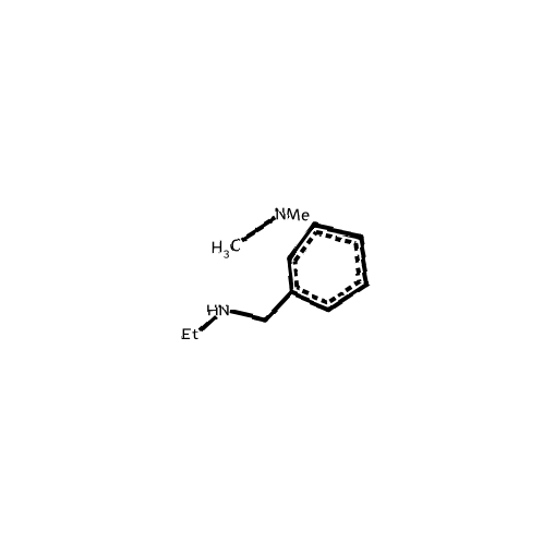 CCNCc1ccccc1.CNC